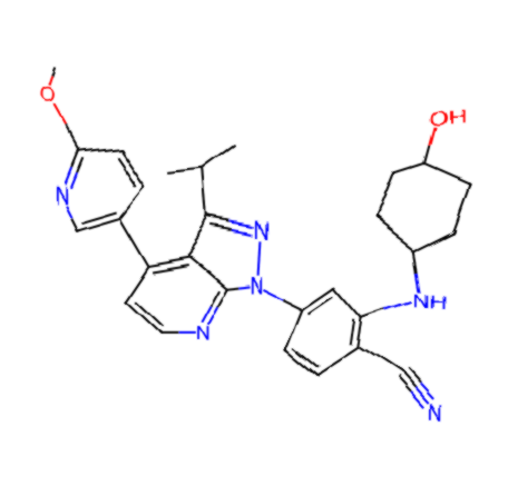 COc1ccc(-c2ccnc3c2c(C(C)C)nn3-c2ccc(C#N)c(NC3CCC(O)CC3)c2)cn1